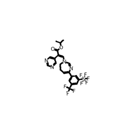 CC(C)OC(=O)/C(=C/N1C=NC(c2cc(C(F)(F)F)cc(S(F)(F)(F)(F)F)c2)=CCC1)c1cncnc1